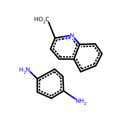 Nc1ccc(N)cc1.O=C(O)c1ccc2ccccc2n1